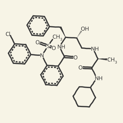 C[C@H](NC[C@@H](O)[C@H](Cc1ccccc1)NC(=O)c1ccccc1N(c1cccc(Cl)c1)S(C)(=O)=O)C(=O)NC1CCCCC1